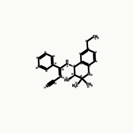 CCc1ccc2c(c1)[C@@H](NC(=NC#N)c1cccnc1)[C@H](O)C(C)(C)O2